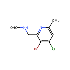 COc1cc(Cl)c(Br)c(CNC=O)n1